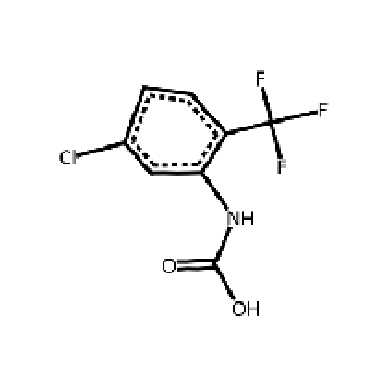 O=C(O)Nc1cc(Cl)ccc1C(F)(F)F